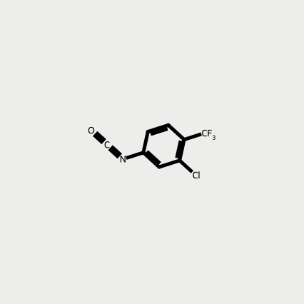 O=C=Nc1ccc(C(F)(F)F)c(Cl)c1